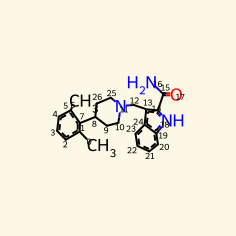 Cc1cccc(C)c1C1CCN(Cc2c(C(N)=O)[nH]c3ccccc23)CC1